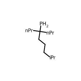 [CH2]C(C)CCCC(P)(CCC)CCC